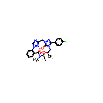 CN(C)C(=O)c1ccccc1-n1cnc(Cn2nc(-c3ccc(Cl)cc3)n(C[C@H](O)C(F)(F)F)c2=O)n1